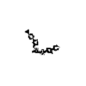 Cc1cc(-c2noc(-c3cc(C)n(Cc4ccnc(N5CCN(C6CC6)CC5)c4)n3)n2)ccc1C1CCOCC1